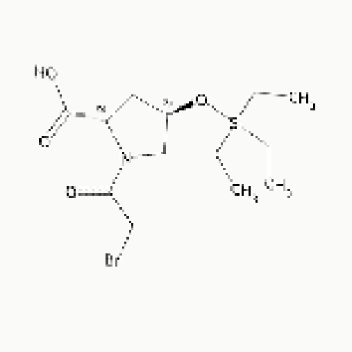 CC[Si](CC)(CC)O[C@@H]1C[C@@H](C(=O)O)N(C(=O)CBr)C1